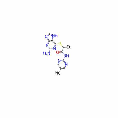 CC[C@H](Sc1nc(N)nc2nc[nH]c12)C(=O)Nc1ncc(C#N)cn1